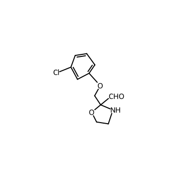 O=CC1(COc2cccc(Cl)c2)NCCO1